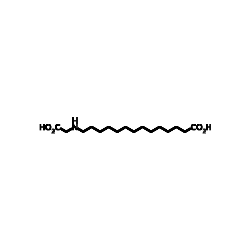 O=C(O)CCCCCCCCCCCCCNCC(=O)O